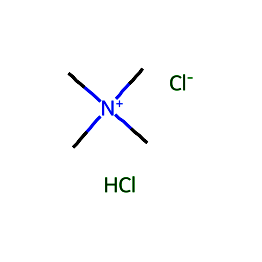 C[N+](C)(C)C.Cl.[Cl-]